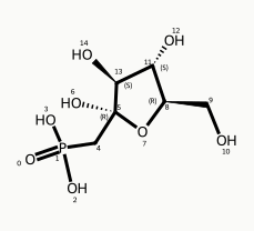 O=P(O)(O)C[C@]1(O)O[C@H](CO)[C@@H](O)[C@@H]1O